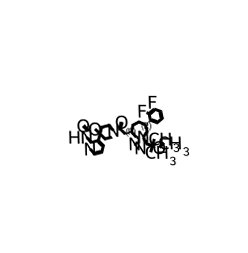 COC(C)(C)c1nnc2n1C[C@@H](c1cccc(F)c1F)CC[C@@H]2CC(=O)N1CCC2(CC1)OC(=O)Nc1ncccc12